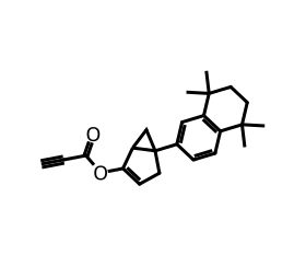 C#CC(=O)OC1=CCC2(c3ccc4c(c3)C(C)(C)CCC4(C)C)CC12